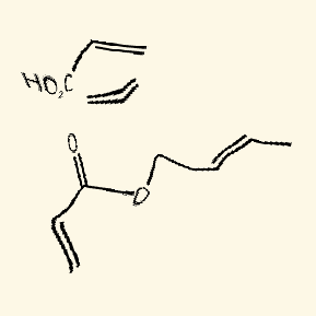 C=C.C=CC(=O)O.C=CC(=O)OCC=CC